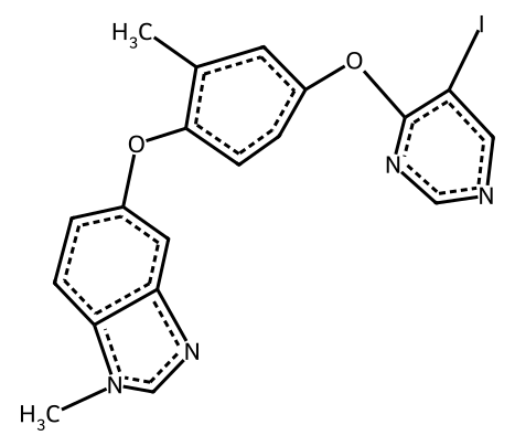 Cc1cc(Oc2ncncc2I)ccc1Oc1ccc2c(c1)ncn2C